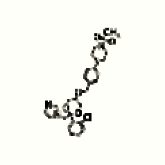 CS(=O)(=O)N1CCN(c2ccc(COC3COC(Cn4ccnc4)(c4ccccc4Cl)OC3)cc2)CC1